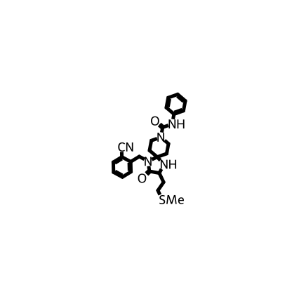 CSCCC1NC2(CCN(C(=O)Nc3ccccc3)CC2)N(Cc2ccccc2C#N)C1=O